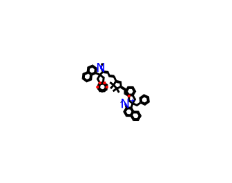 CN1/C(=C/C=C/C2=CC(=C/C=C/C3=[N+](C)c4ccc5ccccc5c4C3(Cc3ccccc3)Cc3ccccc3)/C(C)(C)C2(C)C)C(Cc2ccccc2)(Cc2ccccc2)c2c1ccc1ccccc21